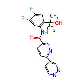 O=C(Nc1cc(Br)c(F)cc1C(O)(C(F)(F)F)C(F)(F)F)c1ccc(-c2ccnnc2)nn1